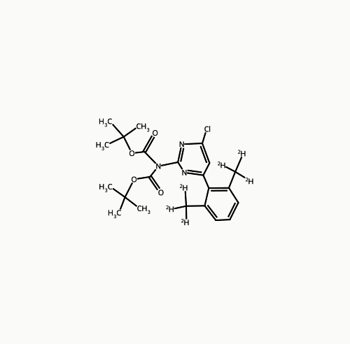 [2H]C([2H])([2H])c1cccc(C([2H])([2H])[2H])c1-c1cc(Cl)nc(N(C(=O)OC(C)(C)C)C(=O)OC(C)(C)C)n1